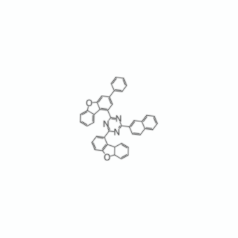 C1=CC2Oc3cccc(-c4nc(-c5ccc6ccccc6c5)nc(-c5cc(-c6ccccc6)cc6oc7ccccc7c56)n4)c3C2C=C1